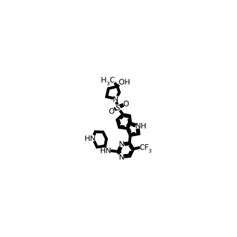 CC1(O)CCN(S(=O)(=O)c2ccc3c(-c4nc(N[C@H]5CCCNC5)ncc4C(F)(F)F)c[nH]c3c2)C1